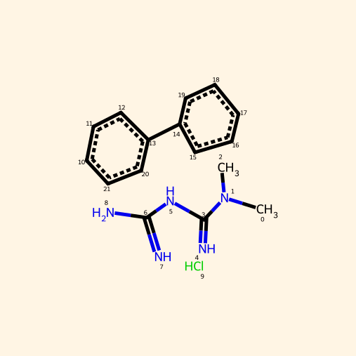 CN(C)C(=N)NC(=N)N.Cl.c1ccc(-c2ccccc2)cc1